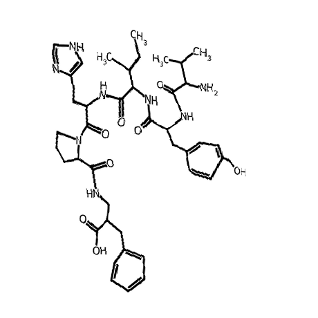 CCC(C)C(NC(=O)C(Cc1ccc(O)cc1)NC(=O)C(N)C(C)C)C(=O)NC(Cc1c[nH]cn1)C(=O)N1CCCC1C(=O)NCC(Cc1ccccc1)C(=O)O